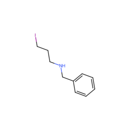 ICCCNCc1ccccc1